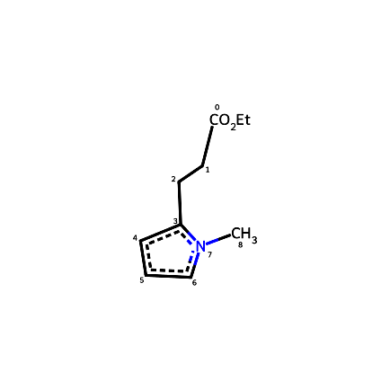 CCOC(=O)CCc1cccn1C